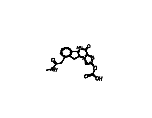 CNC(=O)Cc1cccc2c1Cc1c-2[nH]c(=O)c2nc(OC(=O)O)cn12